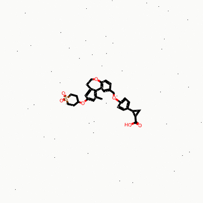 Cc1cc(OC2CCS(=O)(=O)CC2)cc2c1-c1cc(COc3ccc(C4CC4C(=O)O)cc3)ccc1OCC2